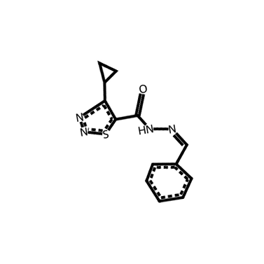 O=C(N/N=C\c1ccccc1)c1snnc1C1CC1